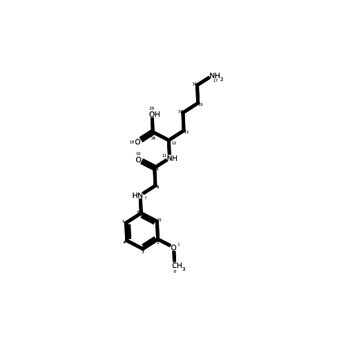 COc1cccc(NCC(=O)NC(CCCCN)C(=O)O)c1